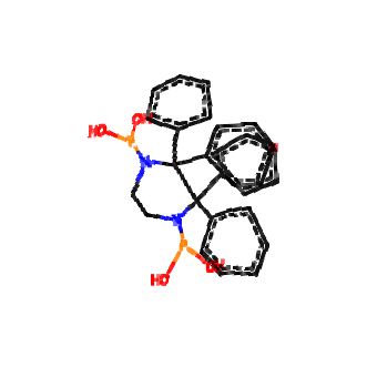 OP(O)N1CCN(P(O)O)C(c2ccccc2)(c2ccccc2)C1(c1ccccc1)c1ccccc1